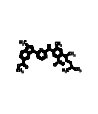 COC(=O)c1ccc2c(c1)c(-c1ccnc(Nc3cc([N+](=O)[O-])c(N(C)CCN(C)C)cc3C)n1)cn2C